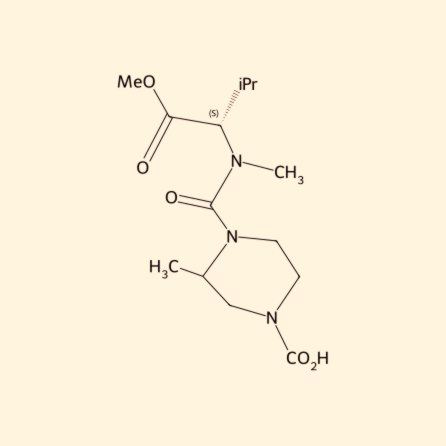 COC(=O)[C@H](C(C)C)N(C)C(=O)N1CCN(C(=O)O)CC1C